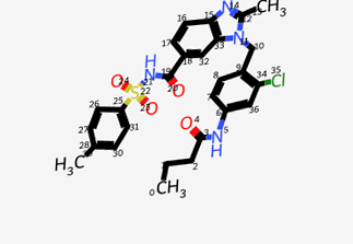 CCCC(=O)Nc1ccc(Cn2c(C)nc3ccc(C(=O)NS(=O)(=O)c4ccc(C)cc4)cc32)c(Cl)c1